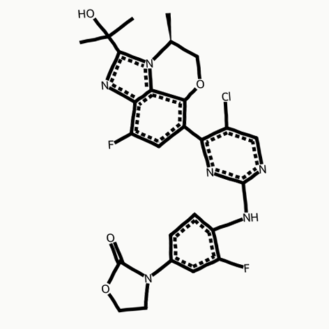 C[C@H]1COc2c(-c3nc(Nc4ccc(N5CCOC5=O)cc4F)ncc3Cl)cc(F)c3nc(C(C)(C)O)n1c23